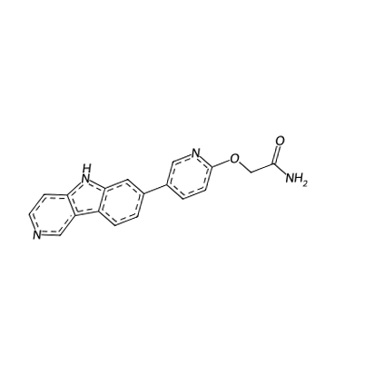 NC(=O)COc1ccc(-c2ccc3c(c2)[nH]c2ccncc23)cn1